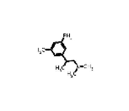 Cc1cc(P)cc(C(C)CN(C)C)c1